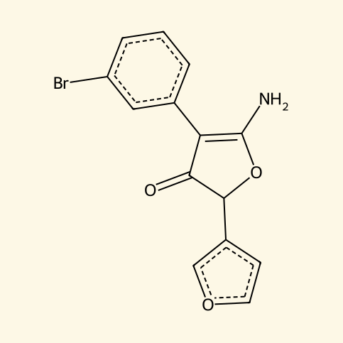 NC1=C(c2cccc(Br)c2)C(=O)C(c2ccoc2)O1